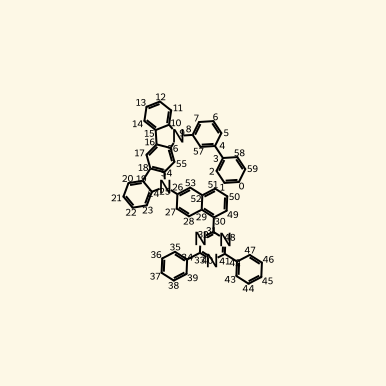 c1ccc(-c2cccc(-n3c4ccccc4c4cc5c6ccccc6n(-c6ccc7c(-c8nc(-c9ccccc9)nc(-c9ccccc9)n8)cccc7c6)c5cc43)c2)cc1